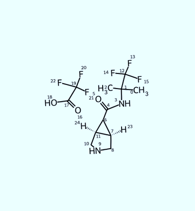 CC(C)(NC(=O)C1[C@H]2CNC[C@@H]12)C(F)(F)F.O=C(O)C(F)(F)F